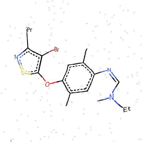 CCN(C)/C=N\c1cc(C)c(Oc2snc(C(C)C)c2Br)cc1C